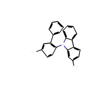 COc1ccc2c3ccccc3n(-c3ccc(C#N)cc3-c3ccccc3)c2c1